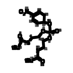 CC(C)(C)C(=O)SCCOP(=O)(OCCSC(=O)C(C)(C)C)OC1C=CC([N+](=O)[O-])=CC1